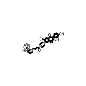 CCc1cc2c(cc1N1CCN(C(=O)CCCN3CC[C@@](C)(NC(=O)OC(C)(C)C)C3)CC1)C(C)(C)c1[nH]c3cc(C#N)ccc3c1C2=O